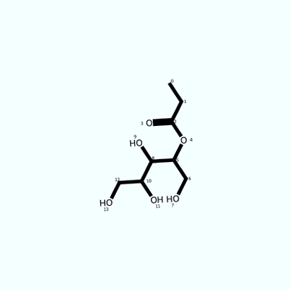 CCC(=O)OC(CO)C(O)C(O)CO